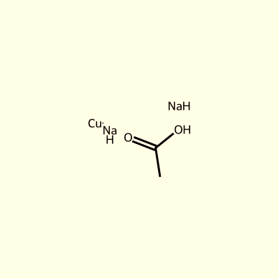 CC(=O)O.[Cu].[NaH].[NaH]